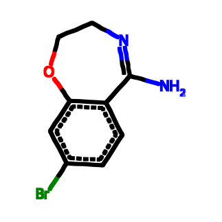 NC1=NCCOc2cc(Br)ccc21